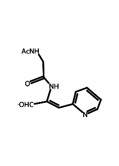 CC(=O)NCC(=O)NC([C]=O)=Cc1ccccn1